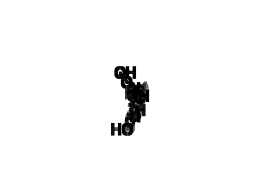 C[C@H]1C[C@H]2O[C@@]34CC[C@H]5C6CC=C7C[C@@H](O)CC[C@]7(C)[C@H]6CC56CC63C[C@@H]4[C@@H]2N(CCOCCO)C1